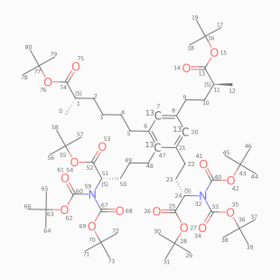 C[C@@H](CCCCc1[13cH]c(CC[C@H](C)C(=O)OC(C)(C)C)[13cH]c(CC[C@@H](C(=O)OC(C)(C)C)N(C(=O)OC(C)(C)C)C(=O)OC(C)(C)C)[13c]1CCC[C@@H](C(=O)OC(C)(C)C)N(C(=O)OC(C)(C)C)C(=O)OC(C)(C)C)C(=O)OC(C)(C)C